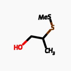 CSSC(C)CO